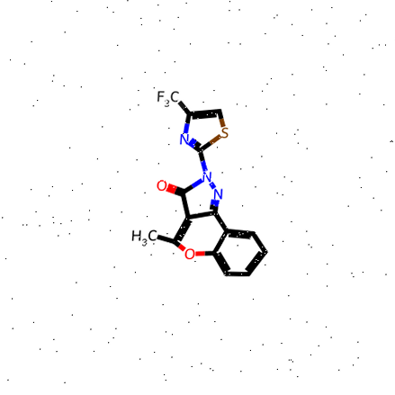 Cc1oc2ccccc2c2nn(-c3nc(C(F)(F)F)cs3)c(=O)c1-2